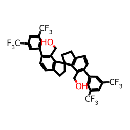 OCc1c(-c2cc(C(F)(F)F)cc(C(F)(F)F)c2)ccc2c1C1(CC2)CCc2ccc(-c3cc(C(F)(F)F)cc(C(F)(F)F)c3)c(CO)c21